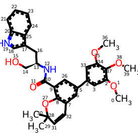 COc1cc(-c2cc3c(c(C(=O)N[C@@H](CO)Cc4c[nH]c5ccccc45)c2)OC(C)(C)C=C3)cc(OC)c1OC